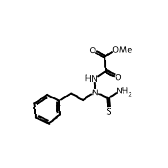 COC(=O)C(=O)NN(CCc1ccccc1)C(N)=S